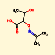 CC(C)=NOC(C(=O)O)C(C)O